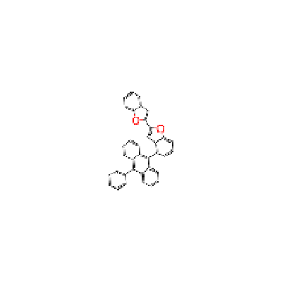 c1ccc(-c2c3ccccc3c(-c3cccc4oc(-c5cc6ccccc6o5)cc34)c3ccccc23)cc1